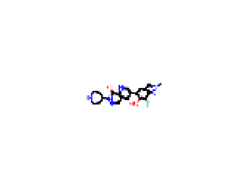 Cn1cc2cc(-c3cnc4c(=O)n(C5CCNCC5)ncc4c3)c(O)c(F)c2n1